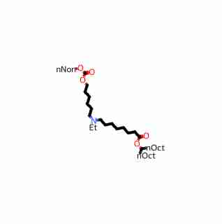 CCCCCCCCCOC(=O)OCCCCCCN(CC)CCCCCCCC(=O)OC(CCCCCCCC)CCCCCCCC